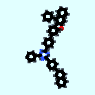 c1ccc(-c2nc(-c3ccc(-c4ccc5ccccc5c4)cc3)nc(-c3ccc(-c4ccc5c(c4)oc4cc6ccccc6c(-c6ccccc6)c45)cc3)n2)cc1